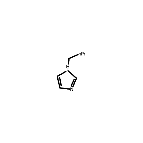 CCCC[SH]1C=CN=C1